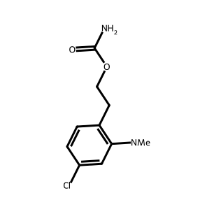 CNc1cc(Cl)ccc1CCOC(N)=O